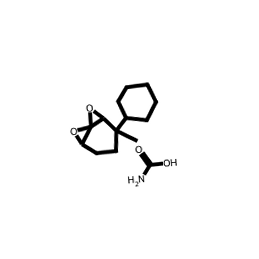 CC1(C2CCCCC2)CCC2OC23OC13.NC(=O)O